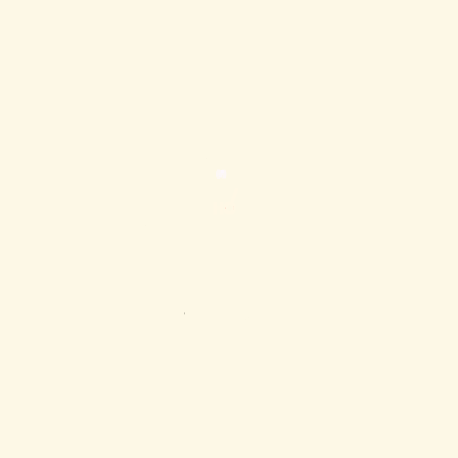 C/C1=C(/O)CCCCCCCCCCCCCC1